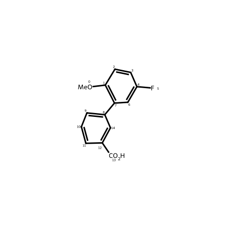 COc1ccc(F)cc1-c1cccc(C(=O)O)c1